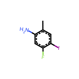 Cc1cc(I)c(F)cc1N